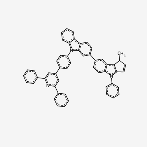 CC1C=Cc2c1c1cc(-c3ccc4c5ccccc5n(-c5ccc(-c6cc(-c7ccccc7)nc(-c7ccccc7)c6)cc5)c4c3)ccc1n2-c1ccccc1